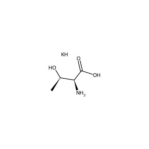 C[C@@H](O)[C@H](N)C(=O)O.[KH]